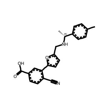 Cc1ccc([C@@H](C)NCc2ccc(-c3cc(C(=O)O)ccc3C#N)o2)cc1